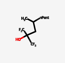 CCCCCC(C)CC(O)(C(F)(F)F)C(F)(F)F